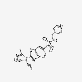 Cc1n[nH]c(N)c1-c1nc2ccc(S(=O)(=O)NCc3ccncc3)cc2s1